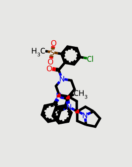 Cc1nc2ccccc2n1C1CC2CCC(C1)N2CCC1(c2ccccc2)CCN(C(=O)c2cc(Cl)ccc2S(C)(=O)=O)CC1